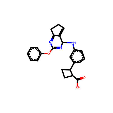 O=C(O)C1CCC1c1cccc(NC2N=C(Oc3ccccc3)N=C3CCC=C32)c1